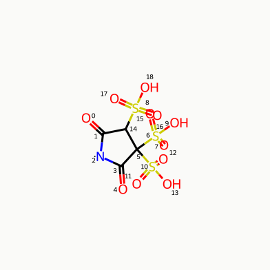 O=C1[N]C(=O)C(S(=O)(=O)O)(S(=O)(=O)O)C1S(=O)(=O)O